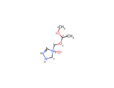 COC(C)OC[N+]1([O-])C=N[N]C1